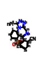 CCCc1nnc2n1-c1cccc(S(=O)(=O)CC)c1C(c1ccccc1C#N)=NC2